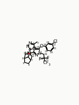 Cc1nnc(N2CC3CCC(C2)C3Nc2nc(Oc3cccc(Cl)c3)n(CC(F)(F)C(F)(F)F)n2)o1